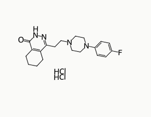 Cl.Cl.O=c1[nH]nc(CCN2CCN(c3ccc(F)cc3)CC2)c2c1CCCC2